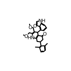 COCC1=C(C(=O)OC)C(c2cccc3[nH]ccc23)C2=C(CC(c3c(C)cccc3C)CC2=O)N1